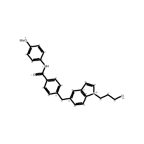 COc1ccc(NC(=O)c2ccc(Cc3ccc4c(ccn4CCCCl)c3)cc2)cc1